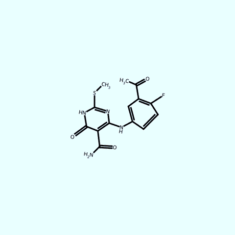 CSc1nc(Nc2ccc(F)c(C(C)=O)c2)c(C(N)=O)c(=O)[nH]1